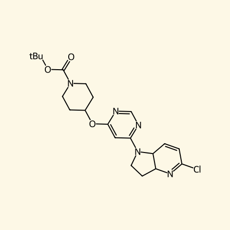 CC(C)(C)OC(=O)N1CCC(Oc2cc(N3CCC4N=C(Cl)C=CC43)ncn2)CC1